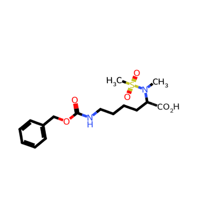 CN(C(CCCCNC(=O)OCc1ccccc1)C(=O)O)S(C)(=O)=O